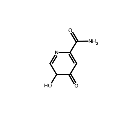 NC(=O)C1=CC(=O)C(O)C=N1